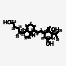 C=C1/C(=C/C=C2\CCC[C@]3(C)[C@@H]([C@H](C)CCCO)CC[C@@H]23)C[C@@H](O)C[C@]1(O)C(C)C